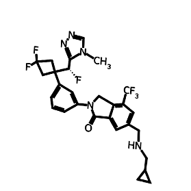 Cn1cnnc1[C@H](F)C1(c2cccc(N3Cc4c(cc(CNCC5CC5)cc4C(F)(F)F)C3=O)c2)CC(F)(F)C1